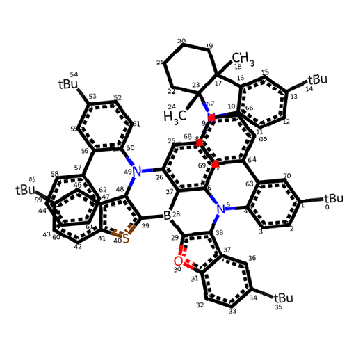 CC(C)(C)c1ccc(N2c3cc(N4c5ccc(C(C)(C)C)cc5C5(C)CCCCC45C)cc4c3B(c3oc5ccc(C(C)(C)C)cc5c32)c2sc3ccc(C(C)(C)C)cc3c2N4c2ccc(C(C)(C)C)cc2-c2ccccc2)c(-c2ccccc2)c1